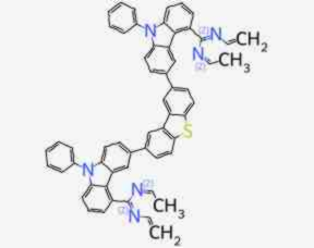 C=C/N=C(\N=C/C)c1cccc2c1c1cc(-c3ccc4sc5ccc(-c6ccc7c(c6)c6c(C(/N=C\C)=N/C=C)cccc6n7-c6ccccc6)cc5c4c3)ccc1n2-c1ccccc1